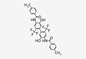 Cc1ccc(C(=O)Nc2cc(C(F)(F)F)c(-c3cc(O)c(NC(=O)c4ccc(C)cc4)cc3C(F)(F)F)cc2O)cc1